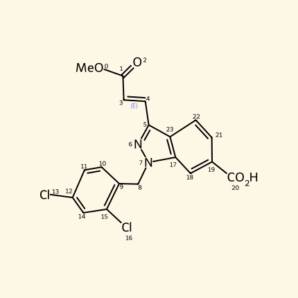 COC(=O)/C=C/c1nn(Cc2ccc(Cl)cc2Cl)c2cc(C(=O)O)ccc12